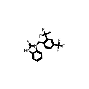 FC(F)(F)c1ccc(Cn2c(=S)[nH]c3ccccc32)c(C(F)(F)F)c1